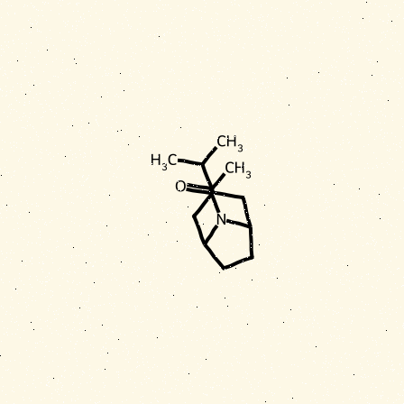 CC(=O)N1C2CCC1CC(C(C)C)C2